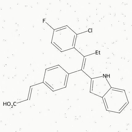 CC/C(=C(/c1ccc(/C=C/C(=O)O)cc1)c1cc2ccccc2[nH]1)c1ccc(F)cc1Cl